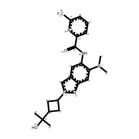 CN(C)c1cc2nn(C3CC(C(C)(C)O)C3)cc2cc1NC(=O)c1cccc(C(F)(F)F)n1